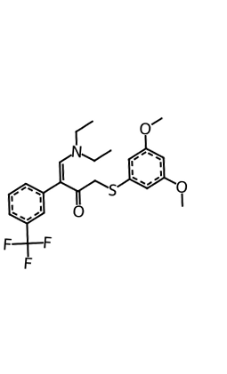 CCN(C=C(C(=O)CSc1cc(OC)cc(OC)c1)c1cccc(C(F)(F)F)c1)CC